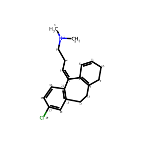 CN(C)CC/C=C1\C2=C(CCC=C2)CCc2cc(Cl)ccc21